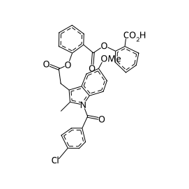 COc1ccc2c(c1)c(CC(=O)Oc1ccccc1C(=O)Oc1ccccc1C(=O)O)c(C)n2C(=O)c1ccc(Cl)cc1